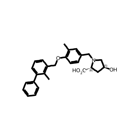 Cc1cc(CN2C[C@@H](O)C[C@@H]2C(=O)O)ccc1OCc1cccc(-c2ccccc2)c1C